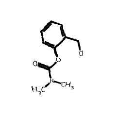 CN(C)C(=O)Oc1ccccc1CCl